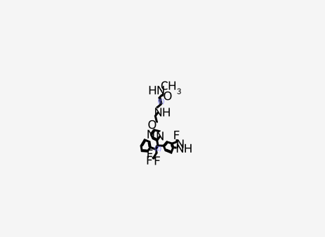 CNC(=O)/C=C/CNCCOc1cnc(/C(=C(/CC(F)(F)F)c2ccccc2)c2ccc3[nH]nc(F)c3c2)cn1